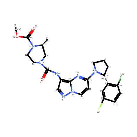 C[C@H]1CN(C(=O)Nc2cnn3ccc(N4CCC[C@@H]4c4cc(F)ccc4Cl)nc23)CCN1C(=O)OC(C)(C)C